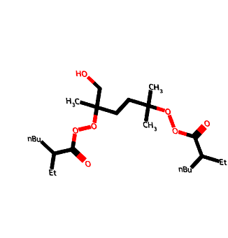 CCCCC(CC)C(=O)OOC(C)(C)CCC(C)(CO)OOC(=O)C(CC)CCCC